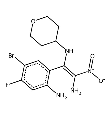 N/C(=C(/NC1CCOCC1)c1cc(Br)c(F)cc1N)[N+](=O)[O-]